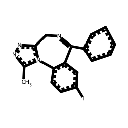 Cc1nnc2n1-c1ccc(I)cc1C(c1ccccc1)=NC2